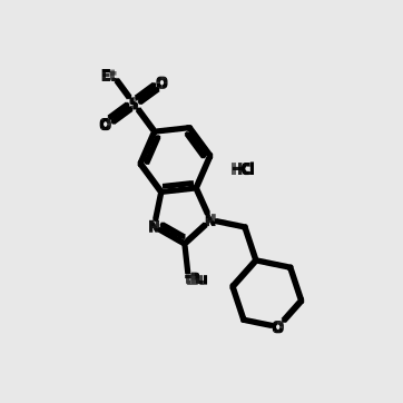 CCS(=O)(=O)c1ccc2c(c1)nc(C(C)(C)C)n2CC1CCOCC1.Cl